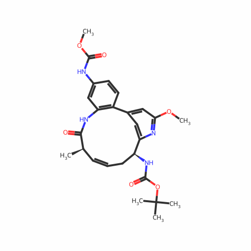 COC(=O)Nc1ccc2c(c1)NC(=O)[C@H](C)C=CC[C@H](NC(=O)OC(C)(C)C)c1cc-2cc(OC)n1